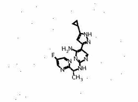 C[C@H](Nc1ncc(-c2cc(C3CC3)[nH]n2)c(N)n1)c1ncc(F)cn1